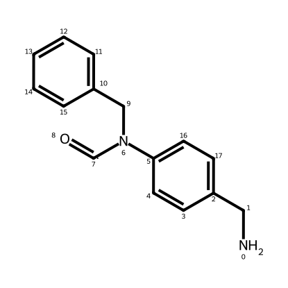 NCc1ccc(N([C]=O)Cc2ccccc2)cc1